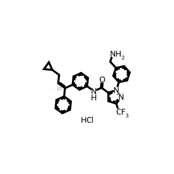 Cl.NCc1cccc(-n2nc(C(F)(F)F)cc2C(=O)Nc2cccc(/C(=C\CC3CC3)c3ccccc3)c2)c1